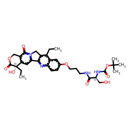 CCc1c2c(nc3ccc(OCCCNC(=O)[C@H](CO)NC(=O)OC(C)(C)C)cc13)-c1cc3c(c(=O)n1C2)COC(=O)[C@]3(O)CC